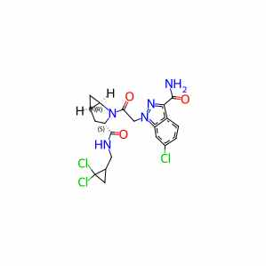 NC(=O)c1nn(CC(=O)N2[C@@H]3C[C@@H]3C[C@H]2C(=O)NCC2CC2(Cl)Cl)c2cc(Cl)ccc12